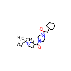 CC(C)(C)N1CCC(C(=O)N2CCN(C(=O)CC3CCCCC3)CC2)C1